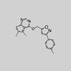 Cc1ccc(-c2cc(COc3ncnc4sc(C)c(C)c34)on2)cc1